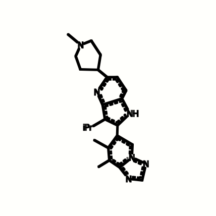 Cc1c(-c2[nH]c3ccc(C4CCN(C)CC4)nc3c2C(C)C)cn2ncnc2c1C